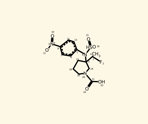 CC(F)C1(N(c2ccc([N+](=O)[O-])cc2)[SH](=O)=O)CCCN(C(=O)O)C1